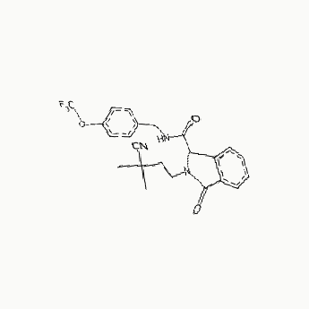 CC(C)(C#N)CCN1C(=O)c2ccccc2C1C(=O)NCc1ccc(OC(F)(F)F)cc1